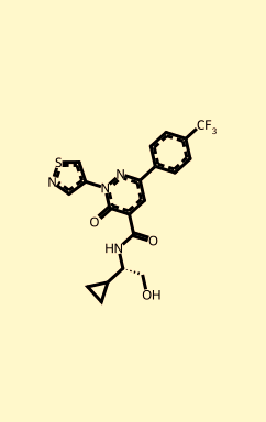 O=C(N[C@H](CO)C1CC1)c1cc(-c2ccc(C(F)(F)F)cc2)nn(-c2cnsc2)c1=O